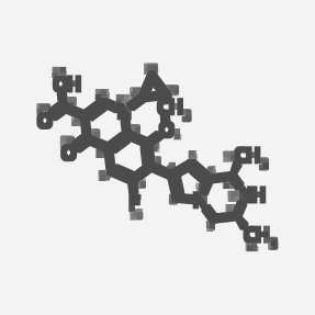 COc1c(-c2cc3n(c2)C[C@H](C)N[C@@H]3C)c(F)cc2c(=O)c(C(=O)O)cn(C3CC3)c12